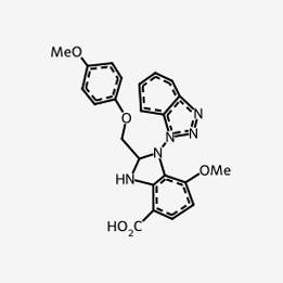 COc1ccc(OCC2Nc3c(C(=O)O)ccc(OC)c3N2n2nnc3ccccc32)cc1